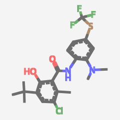 Cc1c(Cl)cc(C(C)(C)C)c(O)c1C(=O)Nc1ccc(SC(F)(F)F)cc1N(C)C